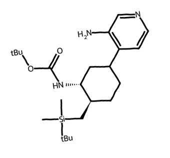 CC(C)(C)OC(=O)N[C@@H]1CC(c2ccncc2N)CC[C@H]1C[Si](C)(C)C(C)(C)C